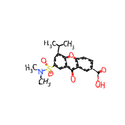 CC(C)c1cc(S(=O)(=O)N(C)C)cc2c(=O)c3cc(C(=O)O)ccc3oc12